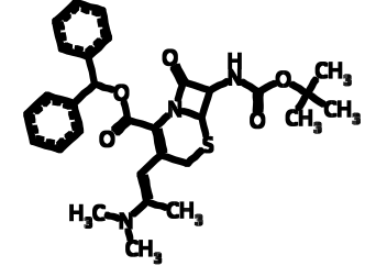 CC(=CC1=C(C(=O)OC(c2ccccc2)c2ccccc2)N2C(=O)C(NC(=O)OC(C)(C)C)C2SC1)N(C)C